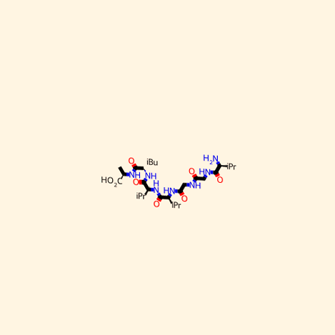 CC[C@H](C)[C@H](NC(=O)[C@@H](NC(=O)[C@@H](NC(=O)CNC(=O)CNC(=O)[C@@H](N)C(C)C)C(C)C)C(C)C)C(=O)N[C@@H](C)C(=O)O